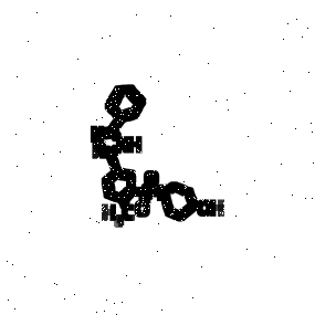 Cc1ccc(-c2nnc(-c3ccccc3)[nH]2)cc1S(=O)(=O)N1CCC(O)CC1